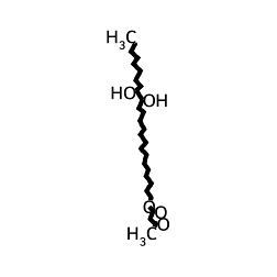 CCCCCCCCC(O)C(O)CCCCCCCCCCCCCCOC(=O)CC(C)=O